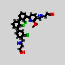 COc1nc(-c2cccc(-c3cccc(-c4ccc(CNCCO)c(Cl)c4)c3Cl)c2Cl)ccc1CNCCO